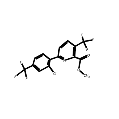 COC(=O)c1nc(-c2ccc(C(F)(F)F)cc2Cl)ccc1C(F)(F)F